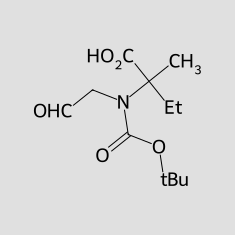 CCC(C)(C(=O)O)N(CC=O)C(=O)OC(C)(C)C